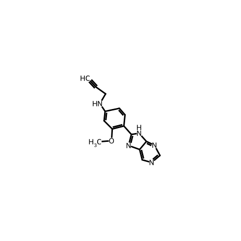 C#CCNc1ccc(-c2nc3cncnc3[nH]2)c(OC)c1